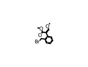 COC=C(C(=O)OC)c1ccccc1CBr